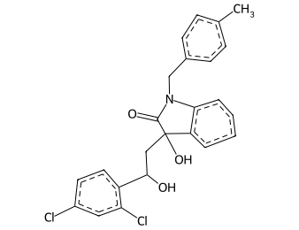 Cc1ccc(CN2C(=O)C(O)(CC(O)c3ccc(Cl)cc3Cl)c3ccccc32)cc1